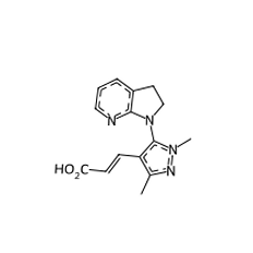 Cc1nn(C)c(N2CCc3cccnc32)c1C=CC(=O)O